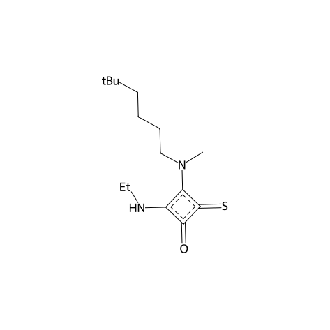 CCNc1c(N(C)CCCCC(C)(C)C)c(=S)c1=O